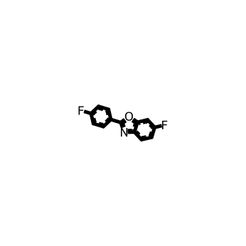 Fc1ccc(-c2nc3ccc(F)cc3o2)cc1